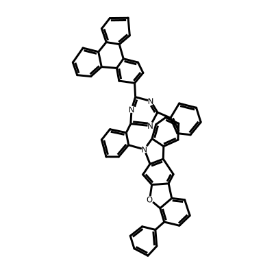 c1ccc(-c2nc(-c3ccc4c5ccccc5c5ccccc5c4c3)nc(-c3ccccc3-n3c4ccccc4c4cc5c(cc43)oc3c(-c4ccccc4)cccc35)n2)cc1